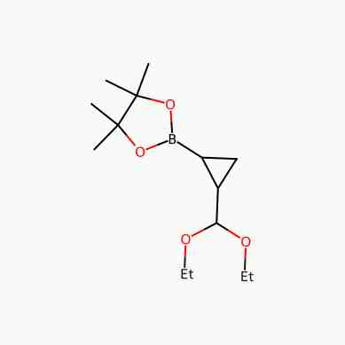 CCOC(OCC)C1CC1B1OC(C)(C)C(C)(C)O1